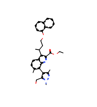 CCOC(=O)c1[nH]c2c(-c3c(C)nn(C)c3CO)c(C)ccc2c1C(C)CCOc1cccc2ccccc12